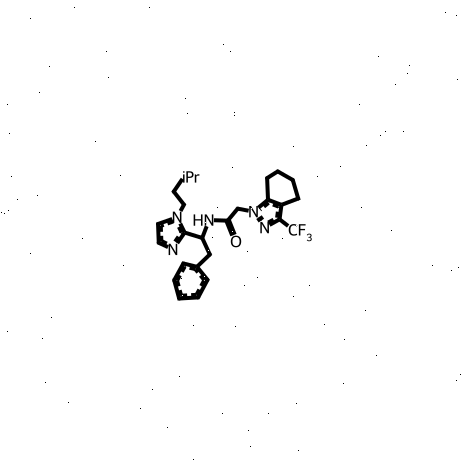 CC(C)CCn1ccnc1C(Cc1ccccc1)NC(=O)Cn1nc(C(F)(F)F)c2c1CCCC2